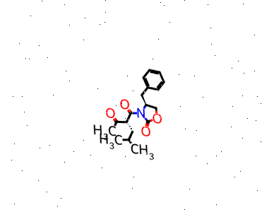 CC(=O)[C@@H](CC(C)C)C(=O)N1C(=O)OC[C@@H]1Cc1ccccc1